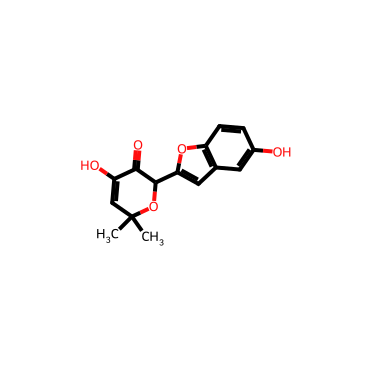 CC1(C)C=C(O)C(=O)C(c2cc3cc(O)ccc3o2)O1